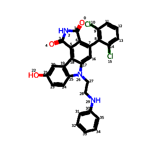 O=C1NC(=O)c2c1c(-c1c(Cl)cccc1Cl)cc1c2c2cc(O)ccc2n1CCNc1ccccc1